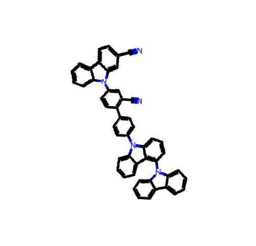 N#Cc1ccc2c3ccccc3n(-c3ccc(-c4ccc(-n5c6ccccc6c6c(-n7c8ccccc8c8ccccc87)cccc65)cc4)c(C#N)c3)c2c1